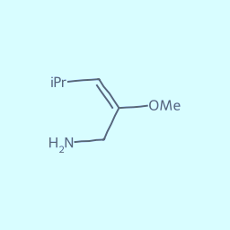 COC(=CC(C)C)CN